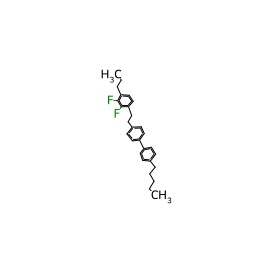 CCCCCc1ccc(-c2ccc(CCc3ccc(CCC)c(F)c3F)cc2)cc1